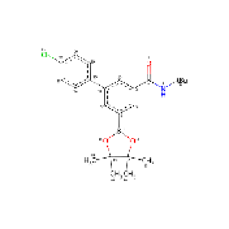 CC(C)(C)NC(=O)c1cc(B2OC(C)(C)C(C)(C)O2)cc(-c2ccc(Cl)cc2)c1